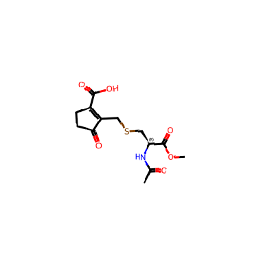 COC(=O)[C@H](CSCC1=C(C(=O)O)CCC1=O)NC(C)=O